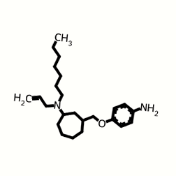 C=CCN(CCCCCCC)C1CCCCC(COc2ccc(N)cc2)C1